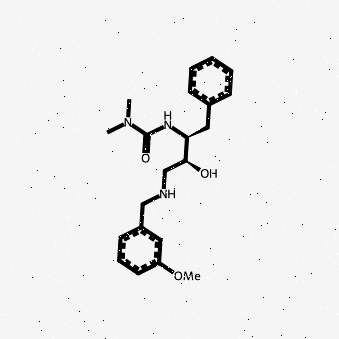 COc1cccc(CNC[C@H](O)[C@H](Cc2ccccc2)NC(=O)N(C)C)c1